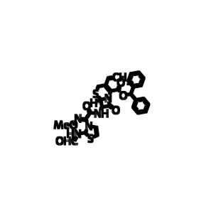 C=CC1=C(C(=O)OC(c2ccccc2)c2ccccc2)N2C(=O)C(NC(=O)C(=NOC)N3C=CSC3NC=O)[C@@H]2SC1